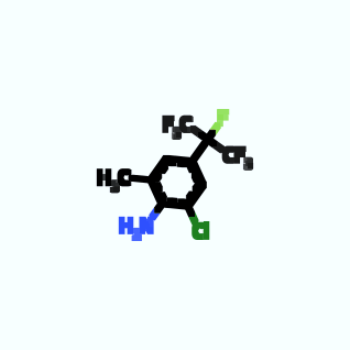 Cc1cc(C(F)(C(F)(F)F)C(F)(F)F)cc(Cl)c1N